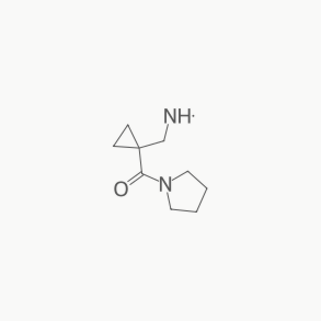 [NH]CC1(C(=O)N2CCCC2)CC1